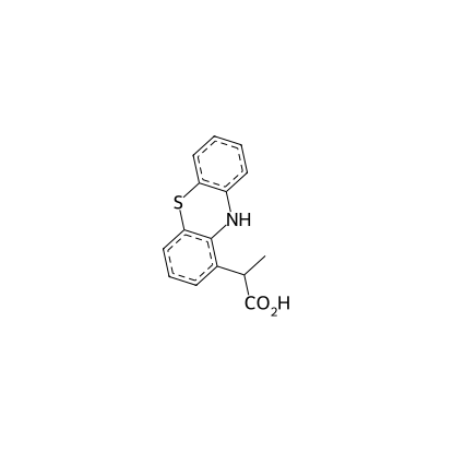 CC(C(=O)O)c1cccc2c1Nc1ccccc1S2